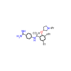 CCCc1cc(CC)cc(C(Nc2ccc(C(=N)N)cc2)C(=O)O)c1OC1CCN(C(C)C)C1